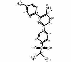 Cc1ccc(-c2nc(-c3ccc(S(=O)(=O)C(C)C)cc3)cnc2N)cn1